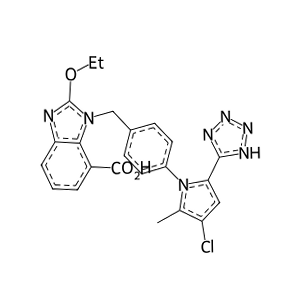 CCOc1nc2cccc(C(=O)O)c2n1Cc1ccc(-n2c(-c3nnn[nH]3)cc(Cl)c2C)cc1